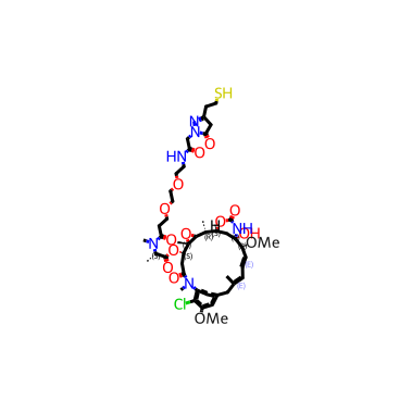 COc1cc2cc(c1Cl)N(C)C(=O)C[C@H](OC(=O)[C@H](C)N(C)C(=O)CCOCCOCCNC(=O)CN1N=C(CCS)CC1=O)[C@]1(C)OC1[C@H](C)[C@@H]1C[C@@](O)(NC(=O)O1)[C@H](OC)/C=C/C=C(\C)C2